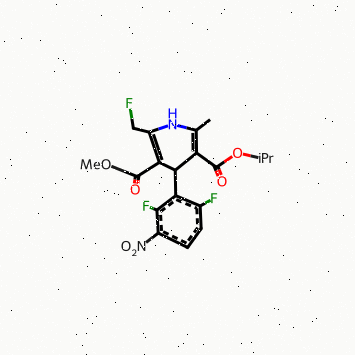 COC(=O)C1=C(CF)NC(C)=C(C(=O)OC(C)C)C1c1c(F)ccc([N+](=O)[O-])c1F